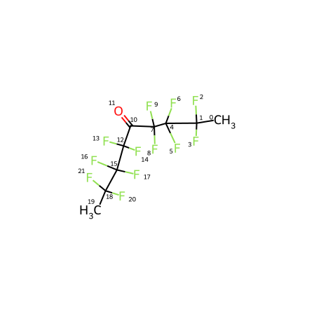 CC(F)(F)C(F)(F)C(F)(F)C(=O)C(F)(F)C(F)(F)C(C)(F)F